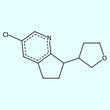 Clc1cnc2c(c1)CCC2C1CCOC1